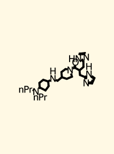 CCCN(CCC)C1CCC(NCC2CCN(C(=O)C(Cc3ncc[nH]3)Cc3ncc[nH]3)CC2)CC1